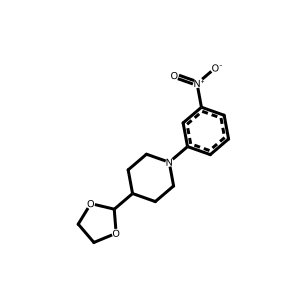 O=[N+]([O-])c1cccc(N2CCC(C3OCCO3)CC2)c1